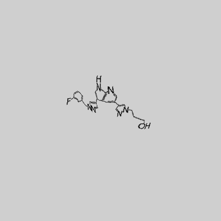 OCCCn1cc(-c2cnc3[nH]cc(-c4cnn(Cc5cccc(F)c5)c4)c3c2)cn1